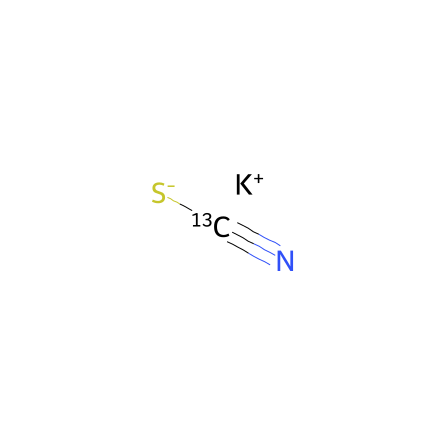 N#[13C][S-].[K+]